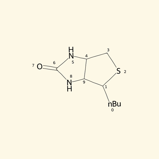 CCCCC1SCC2NC(=O)NC21